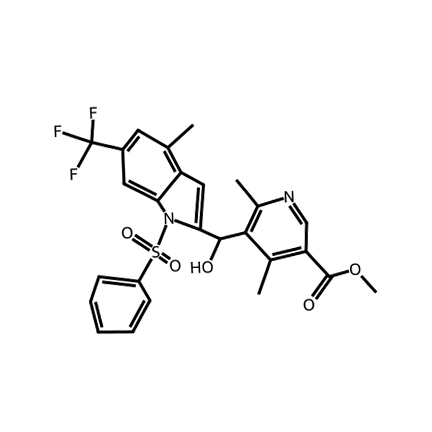 COC(=O)c1cnc(C)c(C(O)c2cc3c(C)cc(C(F)(F)F)cc3n2S(=O)(=O)c2ccccc2)c1C